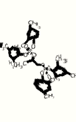 Cc1ccc(OP(=O)(OCC(C)OP(=O)(Oc2ccc(C)cc2C)Oc2ccc(C)cc2C)Oc2ccc(C)cc2C)c(C)c1